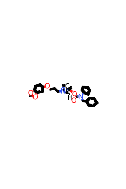 O=C(O[C@H]1C[N+]2(CCCOc3ccc4c(c3)OCO4)CCC1CC2)N(Cc1ccccc1)c1ccccc1